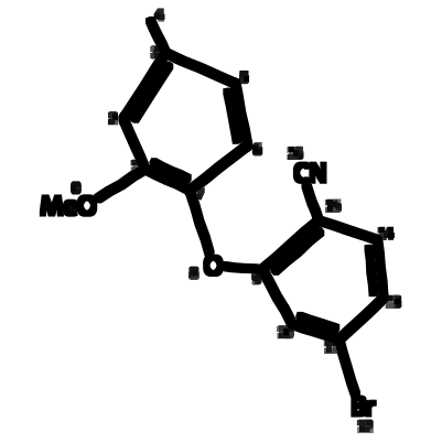 COc1cc(C)ccc1Oc1cc(Br)ccc1C#N